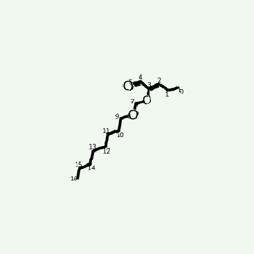 CCC=C(C=O)OCOCCCCCCCC